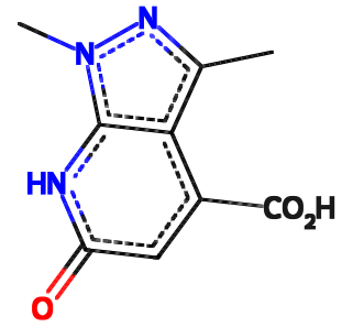 Cc1nn(C)c2[nH]c(=O)cc(C(=O)O)c12